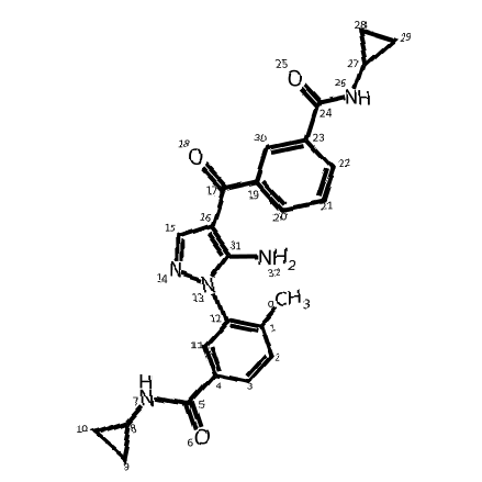 Cc1ccc(C(=O)NC2CC2)cc1-n1ncc(C(=O)c2cccc(C(=O)NC3CC3)c2)c1N